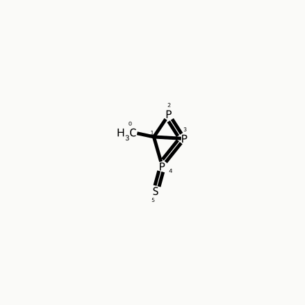 CC12P=P1=P2=S